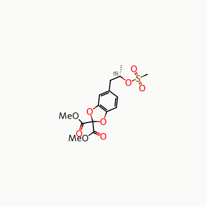 COC(=O)C1(C(=O)OC)Oc2ccc(C[C@H](C)OS(C)(=O)=O)cc2O1